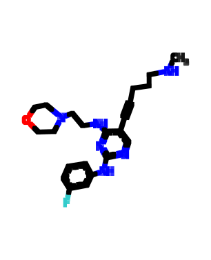 CNCCCC#Cc1cnc(Nc2cccc(F)c2)nc1NCCN1CCOCC1